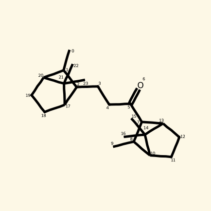 CC1C(CCC(=O)C2C(C)C3CCC2C3(C)C)C2CCC1C2(C)C